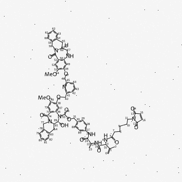 C=C(C)[C@H](NC(=O)CCCCCN1C(=O)C=CC1=O)C(=O)N[C@@H](C)C(=O)Nc1ccc(COC(=O)N2c3cc(OCc4cccc(COc5cc6c(cc5OC)C(=O)N5Cc7ccccc7C[C@H]5CN6)n4)c(OC)cc3C(=O)N3Cc4ccccc4CC3C2O)cc1